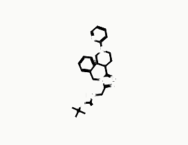 CC(C)(C)OC(=O)NCc1nnc(C2CCN(c3ccccn3)CC2)n1Cc1ccccc1